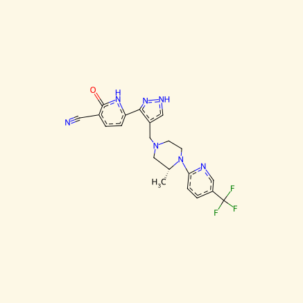 C[C@@H]1CN(Cc2c[nH]nc2-c2ccc(C#N)c(=O)[nH]2)CCN1c1ccc(C(F)(F)F)cn1